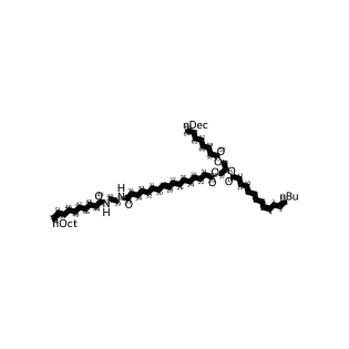 CCCC/C=C\C/C=C\CCCCCCCC(=O)OC(COC(=O)CCCCCCC/C=C/CCCCCCC(=O)NCCNC(=O)CCCCCCC/C=C\CCCCCCCC)COC(=O)CCCCCCCCCCCCCCCCC